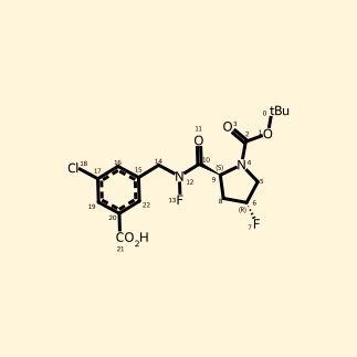 CC(C)(C)OC(=O)N1C[C@H](F)C[C@H]1C(=O)N(F)Cc1cc(Cl)cc(C(=O)O)c1